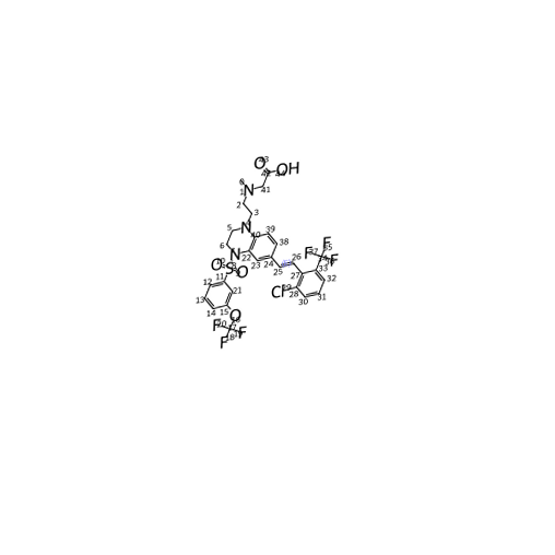 CN(CCN1CCN(S(=O)(=O)c2cccc(OC(F)(F)F)c2)c2cc(/C=C/c3c(Cl)cccc3C(F)(F)F)ccc21)CC(=O)O